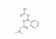 CCC(=O)OB(OC(=O)CN(C)C)c1ccccc1